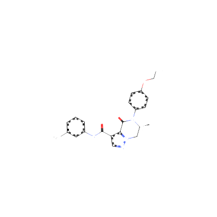 C[C@H]1Cn2ncc(C(=O)Nc3cccc(C#N)c3)c2C(=O)N1c1ccc(OCC(F)(F)F)cc1